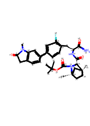 CN1C(=O)Cc2ccc(-c3ccc(C[C@H](NC(=O)[C@@H]4[C@H]5CC[C@H](C5)N4C(=O)OC(C)(C)C)C(N)=O)c(F)c3)cc21